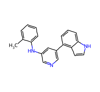 Cc1ccccc1Nc1cncc(-c2cccc3[nH]ccc23)c1